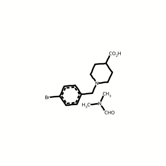 CN(C)C=O.O=C(O)C1CCN(Cc2ccc(Br)cc2)CC1